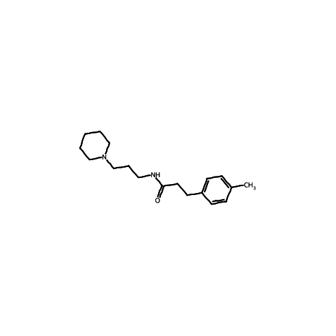 Cc1ccc(CCC(=O)NCCCN2CCCCC2)cc1